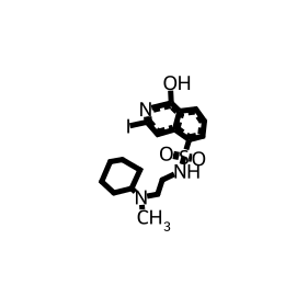 CN(CCNS(=O)(=O)c1cccc2c(O)nc(I)cc12)C1CCCCC1